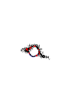 C[C@H]1/C=C/C=C/C=C\C=C/C=C/C=C/C=C/[C@H](O[C@@H]2O[C@H](C)[C@@H](O)[C@H](N)[C@@H]2O)CC2O[C@](O)(C[C@@H](O)C[C@@H](O)C[C@@H](O)C[C@@H](O)CC(=O)CC(O)CC(=O)O[C@@H]1[C@@H](C)CCC(O)CC(=O)c1ccc(N)cc1)C[C@H](O)[C@H]2C(=O)O